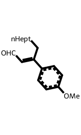 CCCCCCCCC(=CC=O)c1ccc(OC)cc1